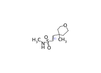 CNS(=O)(=O)/C=C/C1(C)CCOCC1